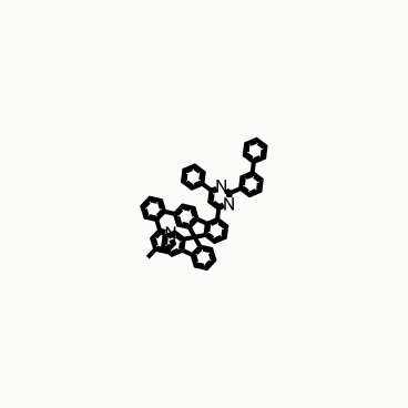 Cc1ccnc(-c2ccccc2-c2ccc3c(c2)C2(c4ccccc4-c4ccccc42)c2cccc(-c4cc(-c5ccccc5)nc(-c5cccc(-c6ccccc6)c5)n4)c2-3)c1